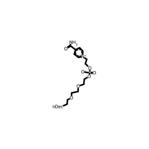 CCCCCCCCCCCCOCCOCCOP(=O)([O-])OCC[n+]1ccc(C(N)=O)cc1